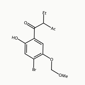 CCC(C(C)=O)C(=O)c1cc(OCOC)c(Br)cc1O